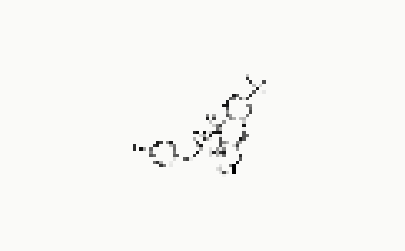 NCC1=Nc2cc(C(F)(F)F)ccc2S(=O)(=O)N1NC(=O)Cc1ccc(F)cc1